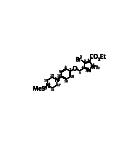 CCOC(=O)c1c(Br)c(COc2ccc(N3CCN(SC)CC3)cc2)nn1C